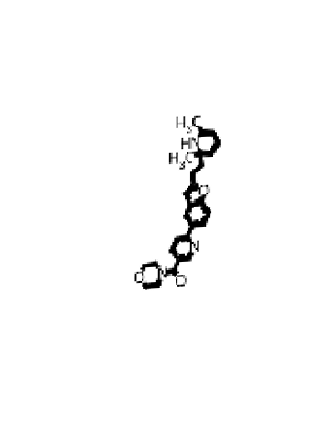 CC1=CC=CC(C)(CCc2cc3cc(-c4ccc(C(=O)N5CCOCC5)cn4)ccc3o2)N1